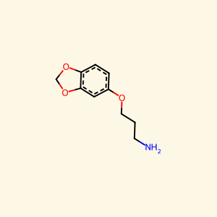 NCCCOc1ccc2c(c1)OCO2